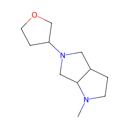 CN1CCC2CN(C3CCOC3)CC21